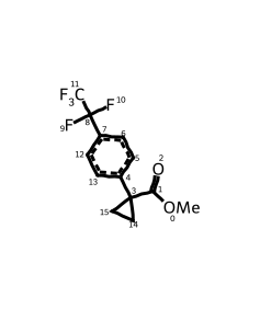 COC(=O)C1(c2ccc(C(F)(F)C(F)(F)F)cc2)CC1